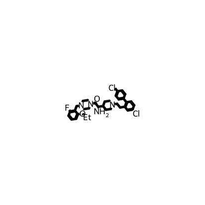 CCOc1cccc(F)c1CN1CCN(C(=O)[C@H](N)C2CCN(CCc3cc(Cl)ccc3-c3ccc(Cl)cc3)CC2)CC1